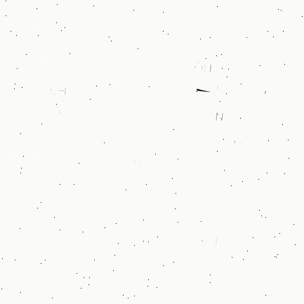 CCCCCC(OCc1ccc(OC)cc1)c1ccc(N2C(=O)CCC[C@@H]2CO)cc1